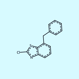 Clc1nc2cccc(Cc3ccccc3)c2s1